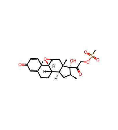 C[C@H]1C[C@H]2[C@@H]3CCC4=CC(=O)C=C[C@]4(C)[C@@]34O[C@H]4C[C@]2(C)[C@@]1(O)C(=O)COS(C)(=O)=O